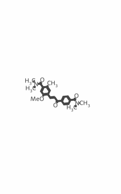 COc1cc(C(=O)N(C)C)c(C)cc1/C=C/C(=O)c1ccc(C(=O)N(C)C)cc1